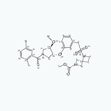 COC(=O)N1CC2(CCN2S(=O)(=O)Cc2cccc(O[C@@H]3CN(C(=O)c4cc(C)ccc4C)C[C@H]3OC)c2)C1